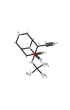 CC(C)(C)OC(=O)N1C2COCC1C(C#N)C(=O)C2